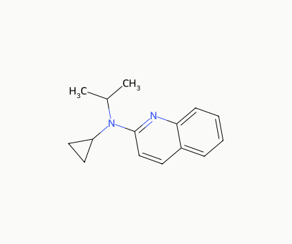 CC(C)N(c1ccc2ccccc2n1)C1CC1